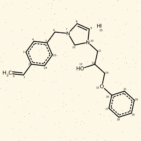 C=Cc1ccc(CN2C=CN(CC(O)COc3ccccc3)C2)cc1.I